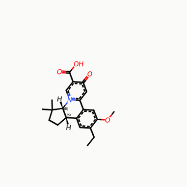 CCc1cc2c(cc1OC)-c1cc(=O)c(C(=O)O)cn1[C@@H]1[C@H]2CCC1(C)C